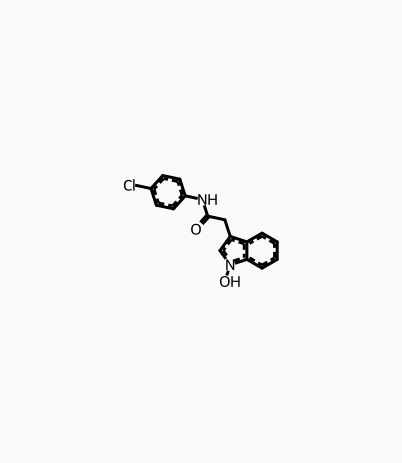 O=C(Cc1cn(O)c2ccccc12)Nc1ccc(Cl)cc1